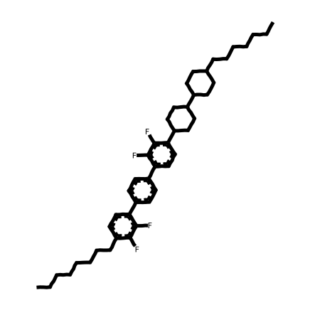 CCCCCCCCc1ccc(-c2ccc(-c3ccc(C4CCC(C5CCC(CCCCCCC)CC5)CC4)c(F)c3F)cc2)c(F)c1F